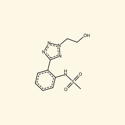 CS(=O)(=O)Nc1ccccc1-c1nnn(CCO)n1